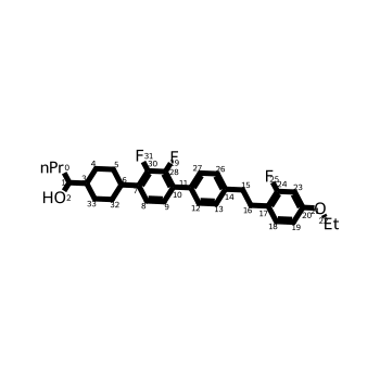 CCCC(O)C1CCC(c2ccc(-c3ccc(CCc4ccc(OCC)cc4F)cc3)c(F)c2F)CC1